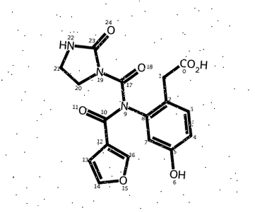 O=C(O)Cc1ccc(O)cc1N(C(=O)c1ccoc1)C(=O)N1CCNC1=O